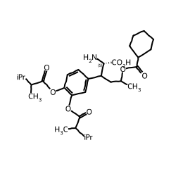 CC(CC(c1ccc(OC(=O)C(C)C(C)C)c(OC(=O)C(C)C(C)C)c1)[C@H](N)C(=O)O)OC(=O)C1CCCCC1